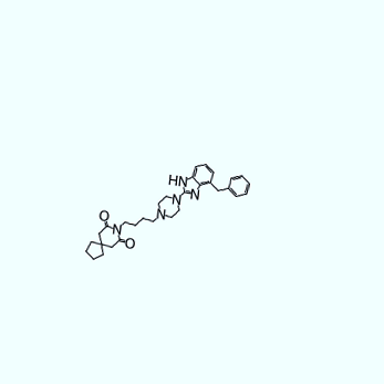 O=C1CC2(CCCC2)CC(=O)N1CCCCN1CCN(c2nc3c(Cc4ccccc4)cccc3[nH]2)CC1